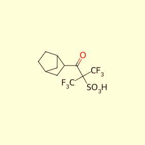 O=C(C1CC2CCC1C2)C(C(F)(F)F)(C(F)(F)F)S(=O)(=O)O